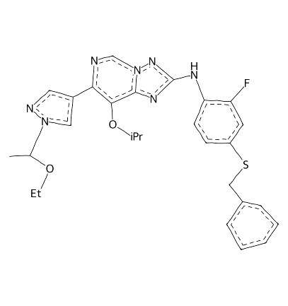 CCOC(C)n1cc(-c2ncn3nc(Nc4ccc(SCc5ccccc5)cc4F)nc3c2OC(C)C)cn1